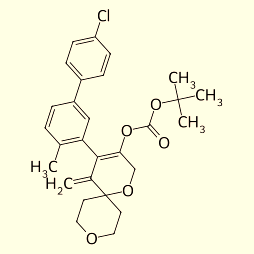 C=C1C(c2cc(-c3ccc(Cl)cc3)ccc2C)=C(OC(=O)OC(C)(C)C)COC12CCOCC2